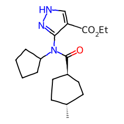 CCOC(=O)c1c[nH]nc1N(C(=O)[C@H]1CC[C@H](C)CC1)C1CCCC1